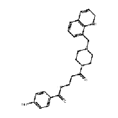 CC(C)(C)c1ccc(C(=O)NCCC(=O)N2CCN(Cc3cccc4c3NCC=C4)CC2)cc1